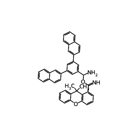 CC1(C)c2ccccc2Oc2cccc(C(=N)OC(N)c3cc(-c4ccc5ccccc5c4)cc(-c4ccc5ccccc5c4)c3)c21